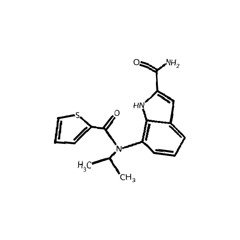 CC(C)N(C(=O)c1cccs1)c1cccc2cc(C(N)=O)[nH]c12